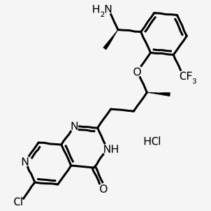 C[C@@H](CCc1nc2cnc(Cl)cc2c(=O)[nH]1)Oc1c([C@@H](C)N)cccc1C(F)(F)F.Cl